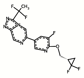 CC(F)(F)c1nnc2cnc(-c3cnc(OC[C@@H]4CC4(F)F)c(F)c3)cn12